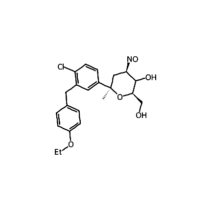 CCOc1ccc(Cc2cc([C@@]3(C)C[C@@H](N=O)C(O)[C@@H](CO)O3)ccc2Cl)cc1